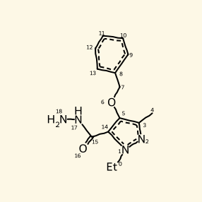 CCn1nc(C)c(OCc2ccccc2)c1C(=O)NN